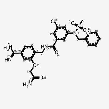 CS(=O)(=O)N(Cc1ccccn1)c1cc(Cl)cc(C(=O)NCc2ccc(C(=N)N)cc2OCC(N)=O)c1